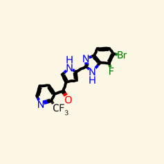 O=C(c1c[nH]c(-c2nc3ccc(Br)c(F)c3[nH]2)c1)c1cccnc1C(F)(F)F